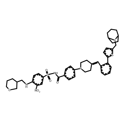 O=C(NS(=O)(=O)c1ccc(NCC2CCCOC2)c([N+](=O)[O-])c1)c1ccc(N2CCC(=Cc3ccccc3-c3ccc(CN4C5CCCC4CC5)s3)CC2)cc1